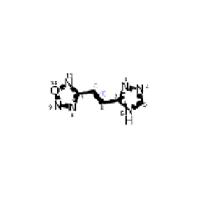 C(=C\c1nnc[nH]1)/c1nnon1